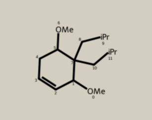 COC1C=CCC(OC)C1(CC(C)C)CC(C)C